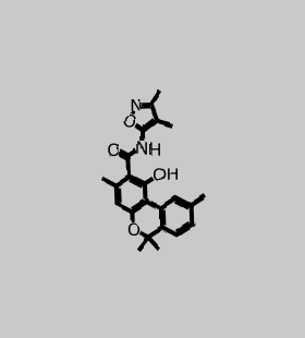 Cc1ccc2c(c1)-c1c(cc(C)c(C(=O)Nc3onc(C)c3C)c1O)OC2(C)C